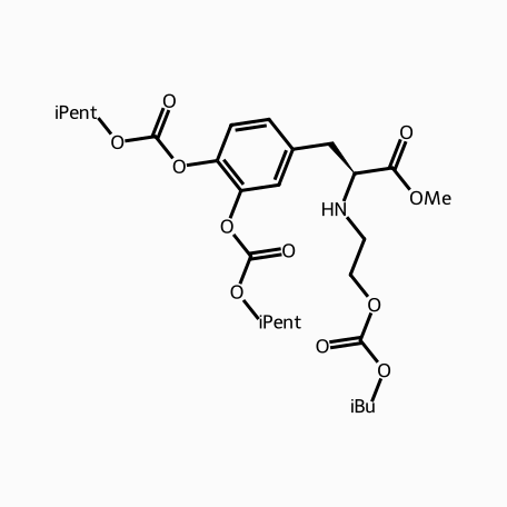 CCCC(C)OC(=O)Oc1ccc(C[C@H](NCCOC(=O)OC(C)CC)C(=O)OC)cc1OC(=O)OC(C)CCC